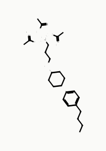 CCCCc1ccc([C@H]2CC[C@H](OCCC[Si](OC(C)=O)(OC(C)=O)OC(C)=O)CC2)cc1